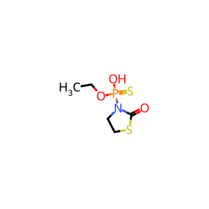 CCOP(O)(=S)N1CCSC1=O